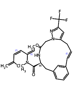 C=C(Cl)/C=C\C(=C/C)N(C)C(=O)[C@@H]1Cc2cccc(c2)/C=C/Cc2cc(C(F)(F)F)nn2CC(=O)N1